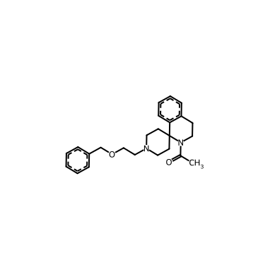 CC(=O)N1CCc2ccccc2C12CCN(CCOCc1ccccc1)CC2